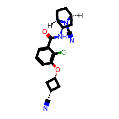 N#CN1[C@H]2CC[C@@H]1[C@H](NC(=O)c1cccc(O[C@H]3C[C@@H](C#N)C3)c1Cl)C2